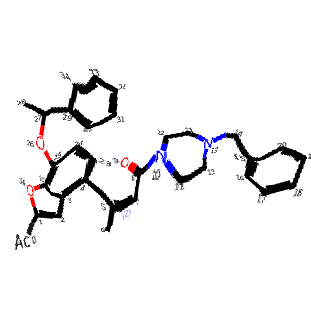 CC(=O)c1cc2c(/C(C)=C\C(=O)N3CCN(Cc4ccccc4)CC3)ccc(OC(C)c3ccccc3)c2o1